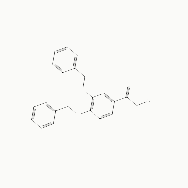 Cl.NCC(=O)c1ccc(OCc2ccccc2)c(OCc2ccccc2)c1